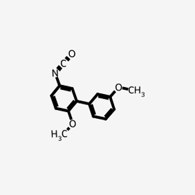 COc1cccc(-c2cc(N=C=O)ccc2OC)c1